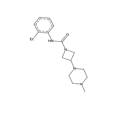 CCc1ccccc1NC(=O)N1CC(N2CCN(C)CC2)C1